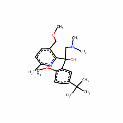 COCc1ccc(C)nc1C(O)(CN(C)C)c1cc(C(C)(C)C)ccc1OC